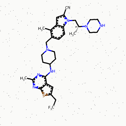 Cc1nc(NC2CCN(Cc3ccc4c(cc(C#N)n4C[C@@H](C)N4CCNCC4)c3C)CC2)c2cc(CC(F)(F)F)sc2n1